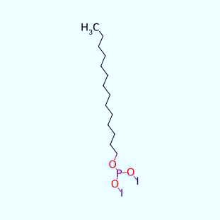 CCCCCCCCCCCCCCOP(OI)OI